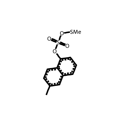 CSOS(=O)(=O)Oc1cccc2cc(C)ccc12